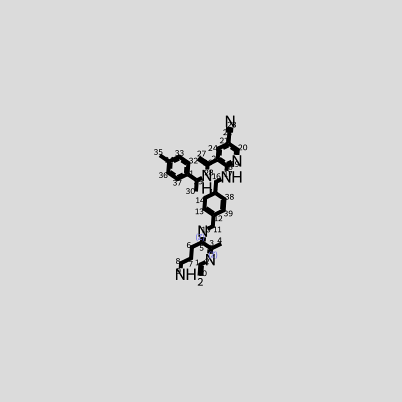 C=C/N=C(C)\C(CCCN)=N/CC1=CCC(CNc2ncc(C#N)cc2C(=C)NC(C)c2ccc(C)cc2)C=C1